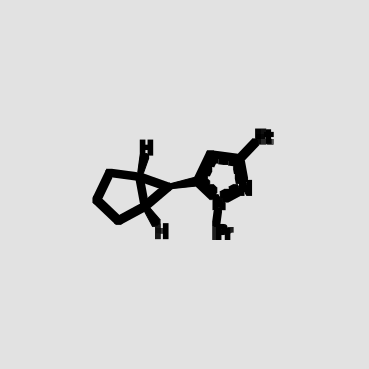 CCc1cc([C@H]2[C@@H]3CCC[C@@H]32)n(C(C)C)n1